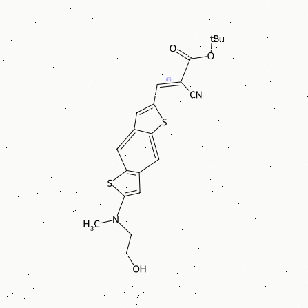 CN(CCO)c1cc2cc3sc(/C=C(\C#N)C(=O)OC(C)(C)C)cc3cc2s1